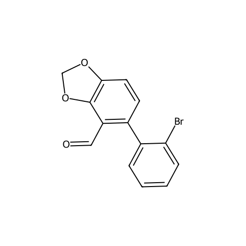 O=Cc1c(-c2ccccc2Br)ccc2c1OCO2